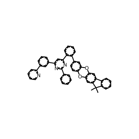 CC1(C)c2ccccc2-c2cc3c(cc21)Oc1ccc(-c2ccccc2-c2cc(-c4cccc(-c5ccccn5)c4)nc(-c4ccccc4)n2)cc1O3